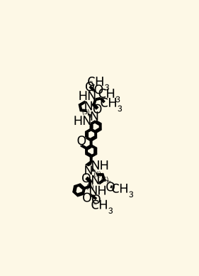 COC[C@H]1C[C@@H](c2ncc(-c3ccc4c(c3)COc3cc5c(ccc6nc([C@@H]7CCCN7C(=O)C(NC(=O)OC)C(C)C)[nH]c65)cc3-4)[nH]2)N(C(=O)[C@H](NC(=O)OC)c2ccccc2)C1